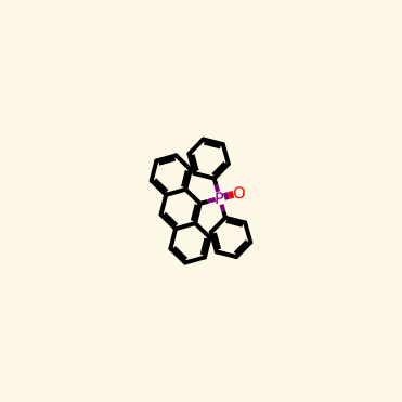 O=P(c1ccccc1)(c1ccccc1)c1c2ccccc2cc2ccccc12